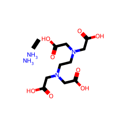 C=C.N.N.O=C(O)CN(CCN(CC(=O)O)CC(=O)O)CC(=O)O